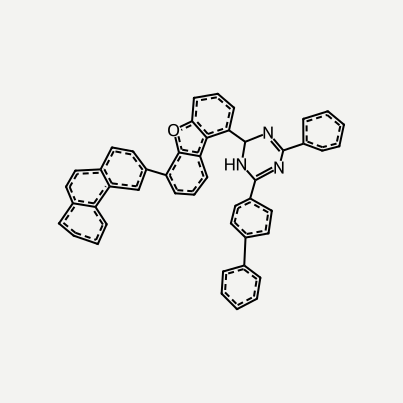 c1ccc(C2=NC(c3cccc4oc5c(-c6ccc7ccc8ccccc8c7c6)cccc5c34)NC(c3ccc(-c4ccccc4)cc3)=N2)cc1